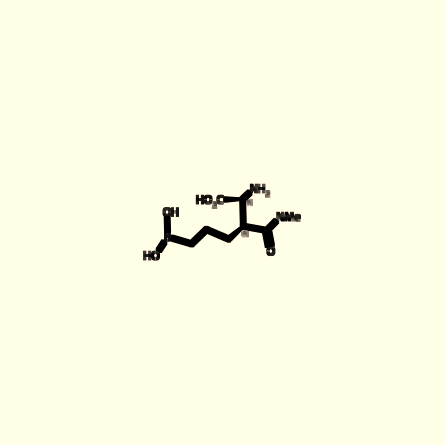 CNC(=O)[C@@H](CCCB(O)O)[C@H](N)C(=O)O